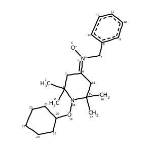 CC1(C)CC(=[N+]([O-])Cc2ccccc2)CC(C)(C)N1OC1CCCCC1